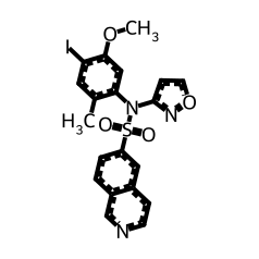 COc1cc(N(c2ccon2)S(=O)(=O)c2ccc3cnccc3c2)c(C)cc1I